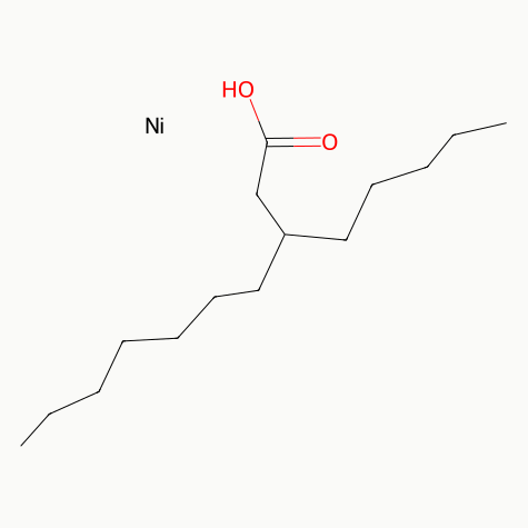 CCCCCCCC(CCCCC)CC(=O)O.[Ni]